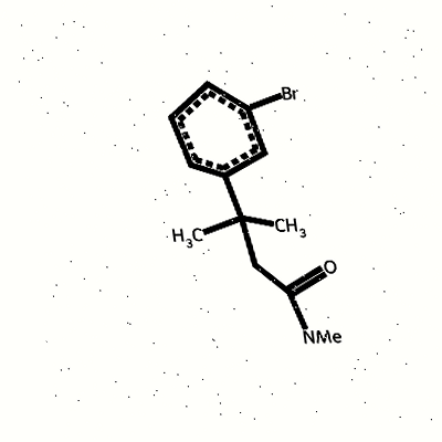 CNC(=O)CC(C)(C)c1cccc(Br)c1